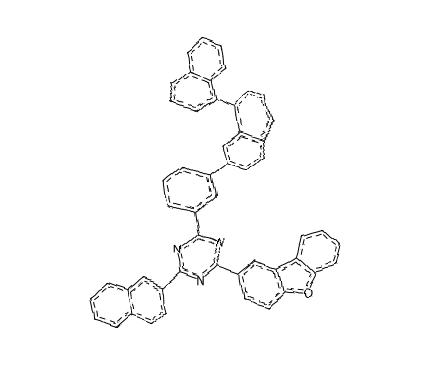 c1cc(-c2ccc3cccc(-c4cccc5ccccc45)c3c2)cc(-c2nc(-c3ccc4ccccc4c3)nc(-c3ccc4oc5ccccc5c4c3)n2)c1